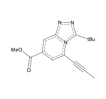 CC#Cc1cc(C(=O)OC)cc2nnc(C(C)(C)C)n12